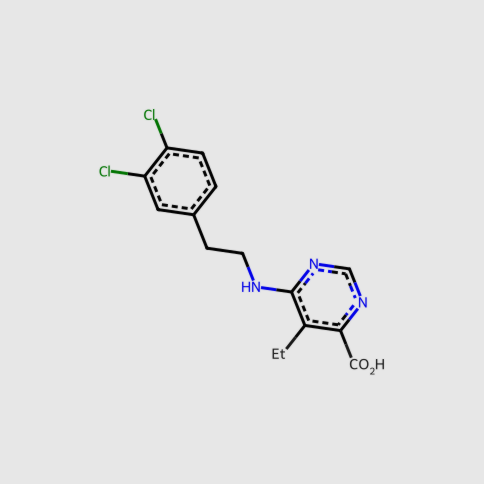 CCc1c(NCCc2ccc(Cl)c(Cl)c2)ncnc1C(=O)O